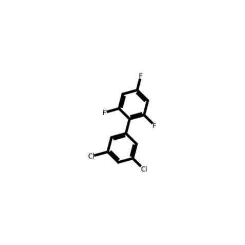 Fc1cc(F)c(-c2cc(Cl)[c]c(Cl)c2)c(F)c1